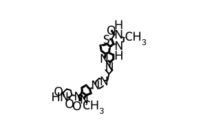 C[C@@H]1CNc2c(sc3ccc4nc(N5CC(CN6CCN(c7ccc8c(c7)n(C)c(=O)n8C7CCC(=O)NC7=O)CC6)C5)ccc4c23)C(=O)N1